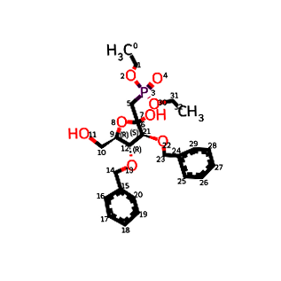 CCOP(=O)(CC1(O)O[C@H](CO)[C@@H](OCc2ccccc2)[C@@H]1OCc1ccccc1)OCC